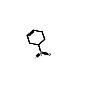 O=[SH](=O)C1CC=CCC1